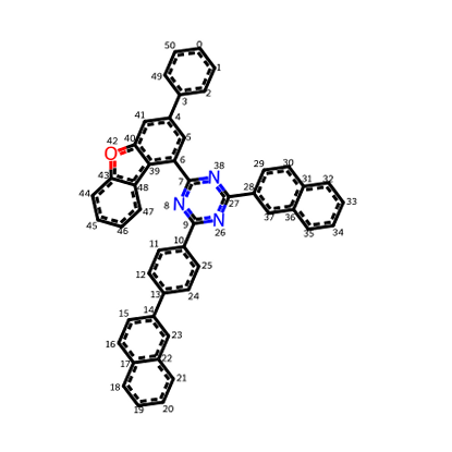 c1ccc(-c2cc(-c3nc(-c4ccc(-c5ccc6ccccc6c5)cc4)nc(-c4ccc5ccccc5c4)n3)c3c(c2)oc2ccccc23)cc1